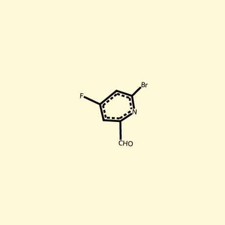 O=Cc1cc(F)cc(Br)n1